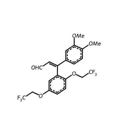 COc1ccc(C(=CC=O)c2cc(OCC(F)(F)F)ccc2OCC(F)(F)F)cc1OC